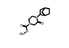 CC(C)(C)OC(=O)N1CCN(C2CC3CCC2C3)C(=O)C1